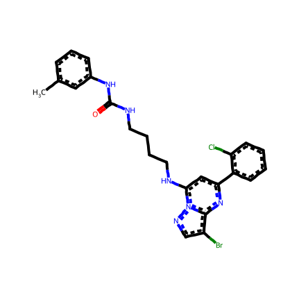 Cc1cccc(NC(=O)NCCCCNc2cc(-c3ccccc3Cl)nc3c(Br)cnn23)c1